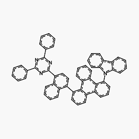 c1ccc(-c2nc(-c3ccccc3)nc(-c3ccc(-c4cccc5c6cccc(-n7c8ccccc8c8ccccc87)c6c6ccccc6c45)c4ccccc34)n2)cc1